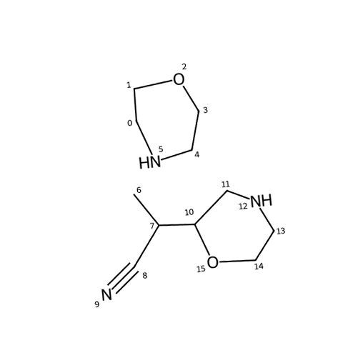 C1COCCN1.CC(C#N)C1CNCCO1